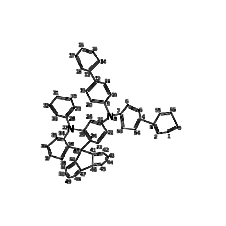 c1ccc(-c2ccc(N(c3ccc(-c4ccccc4)cc3)c3ccc4c(c3)N(c3ccccc3)c3ccccc3C43c4ccccc4-c4ccccc43)cc2)cc1